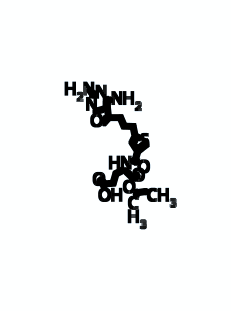 CCC(C)OC(=O)C(CCC(=O)O)NC(=O)c1csc(CCCc2coc3nc(N)nc(N)c23)c1